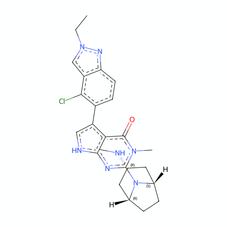 CCn1cc2c(Cl)c(-c3c[nH]c4nc(N5[C@@H]6CC[C@H]5C[C@@H](NC)C6)n(C)c(=O)c34)ccc2n1